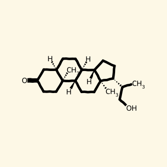 CC(CO)[C@H]1CC[C@H]2[C@@H]3CC[C@@H]4CC(=O)CC[C@]4(C)[C@H]3CC[C@]12C